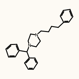 c1ccc(CCCCN2CCN(C(c3ccccc3)c3ccccc3)CC2)cc1